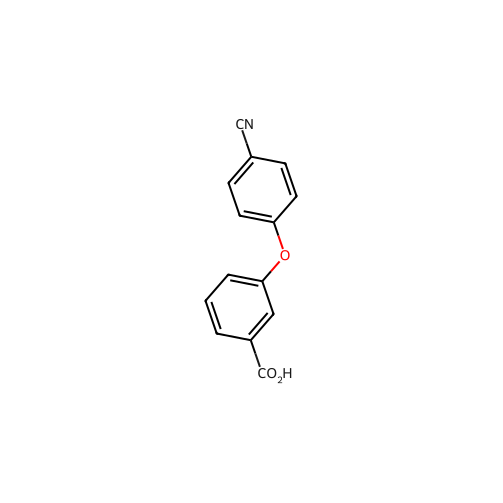 N#Cc1ccc(Oc2cccc(C(=O)O)c2)cc1